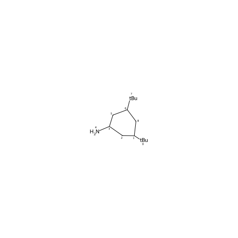 CC(C)(C)C1CC(N)CC(C(C)(C)C)C1